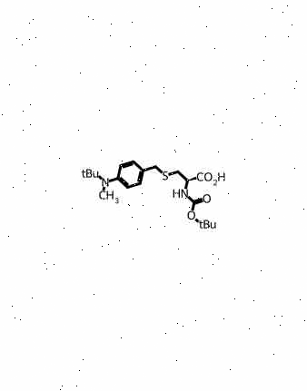 CN(c1ccc(CSC[C@H](NC(=O)OC(C)(C)C)C(=O)O)cc1)C(C)(C)C